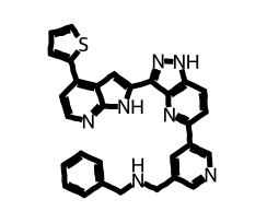 c1ccc(CNCc2cncc(-c3ccc4[nH]nc(-c5cc6c(-c7cccs7)ccnc6[nH]5)c4n3)c2)cc1